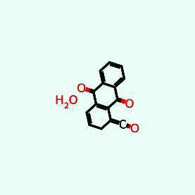 O.O=C=C1CC=CC2=C1C(=O)c1ccccc1C2=O